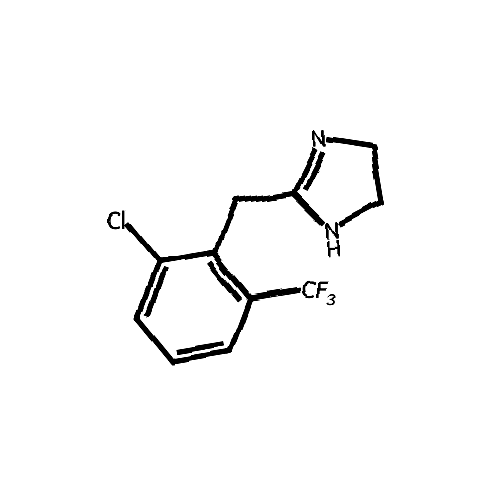 FC(F)(F)c1cccc(Cl)c1CC1=NCCN1